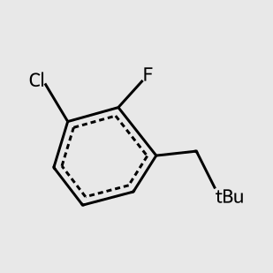 CC(C)(C)Cc1cccc(Cl)c1F